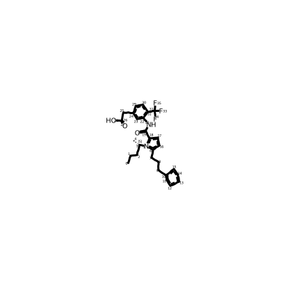 CCC[C@H](C)n1c(CCCc2ccccc2)ccc1C(=O)Nc1cc(CC(=O)O)ccc1C(F)(F)F